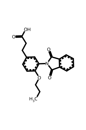 CCCOc1ccc(CCC(=O)O)cc1N1C(=O)c2ccccc2C1=O